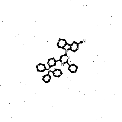 N#Cc1ccc2c(c1)c1ccccc1n2-c1cc(-c2cccc(S(c3ccccc3)(c3ccccc3)c3ccccc3)c2)nc(-c2ccccc2)n1